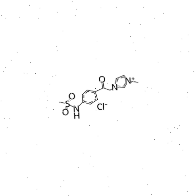 C[n+]1ccn(CC(=O)c2ccc(NS(C)(=O)=O)cc2)c1.[Cl-]